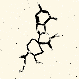 CC(C)(C)OC(=O)N1CCC(C(=O)OC(C)(C)C)(c2nc3cc(F)cc(F)c3[nH]2)CC1N